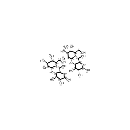 O.OC[C@H]1O[C@H](O[C@H]2[C@H](O)[C@@H](O)[C@H](O)O[C@@H]2CO)[C@H](O)[C@@H](O)[C@@H]1O.OC[C@H]1O[C@H](O[C@H]2[C@H](O)[C@@H](O)[C@H](O)O[C@@H]2CO)[C@H](O)[C@@H](O)[C@@H]1O